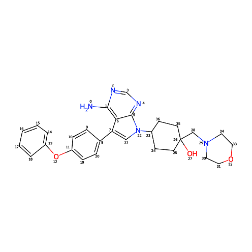 Nc1ncnc2c1c(-c1ccc(Oc3ccccc3)cc1)cn2C1CCC(O)(CN2CCOCC2)CC1